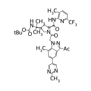 CC(=O)c1nn(CC(=O)N2C[C@@H](C(C)(C)NC(=O)OC(C)(C)C)C[C@H]2C(=O)Nc2nc(C(F)(F)F)ccc2C)c2c(C)cc(-c3cnc(C)nc3)cc12